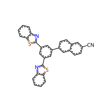 N#Cc1ccc2cc(-c3cc(-c4nc5ccccc5s4)cc(-c4nc5ccccc5s4)c3)ccc2c1